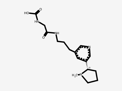 CN1CCC[C@H]1c1cncc(CCCNC(=O)CNC(=O)O)c1